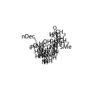 CCCCCCCCCCCCCCCC(=O)N[C@@H](CC(C)C)C(=O)N[C@@H](Cc1ccc(O)cc1)C(=O)N[C@@H](CC(C)C)C(=O)N[C@@H](Cc1c[nH]cn1)C(=O)N[C@@H](CO)C(=O)N[C@@H](CC(C)C)C(=O)N[C@H](C(=O)N[C@@H](Cc1ccccc1)C(=O)N[C@@H](CCSC)C(=O)N[C@@H](C)C(=O)N[C@@H](Cc1ccccc1)C(=O)N[C@H](C)Cc1ccccc1)[C@@H](C)CC